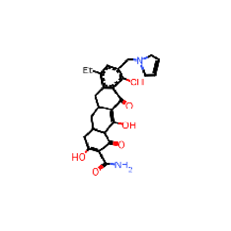 CCc1cc(CN2CC=CC2)c(O)c2c1CC1CC3CC(O)=C(C(N)=O)C(=O)C3C(O)=C1C2=O